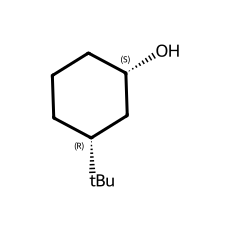 CC(C)(C)[C@@H]1CCC[C@H](O)C1